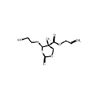 C=CCOC(=O)C1(C)COC(=O)OC1OCCO